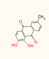 Cc1ccc2c(c1)C(=O)c1ccc(O)c(O)c1C2=O